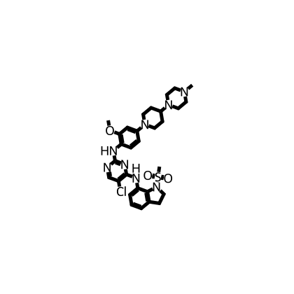 COc1cc(N2CCC(N3CCN(C)CC3)CC2)ccc1Nc1ncc(Cl)c(Nc2cccc3c2N(S(C)(=O)=O)CC3)n1